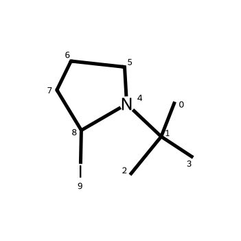 CC(C)(C)N1CCCC1I